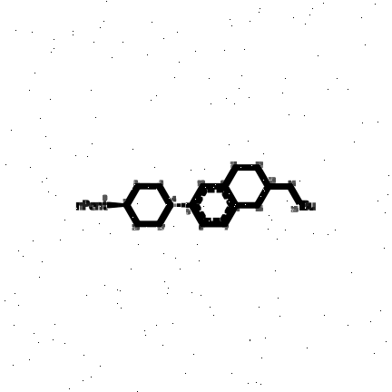 CCCCC[C@H]1CC[C@H](c2ccc3c(c2)CCC(CC(C)CC)C3)CC1